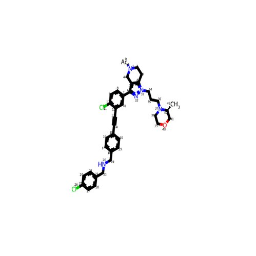 CC(=O)N1CCc2c(c(-c3ccc(Cl)c(C#Cc4ccc(CNCc5ccc(Cl)cc5)cc4)c3)nn2CCCN2CCOC[C@@H]2C)C1